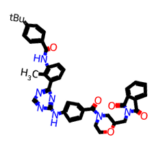 Cc1c(NC(=O)c2ccc(C(C)(C)C)cc2)cccc1-c1ncnc(Nc2ccc(C(=O)N3CCOC(CN4C(=O)c5ccccc5C4=O)C3)cc2)n1